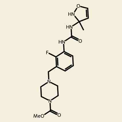 COC(=O)N1CCN(Cc2cccc(NC(=O)NC3(C)C=CON3)c2F)CC1